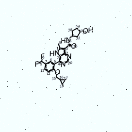 Cc1[nH]c2c(-c3cc(C(F)F)ccc3OCC3CC3)ncnc2c1C(=O)N[C@H]1CC[C@H](O)C1